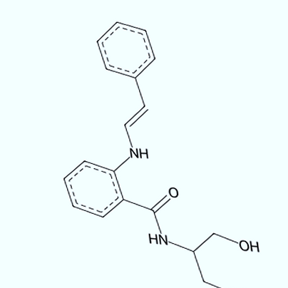 CCC(CO)NC(=O)c1ccccc1NC=Cc1ccccc1